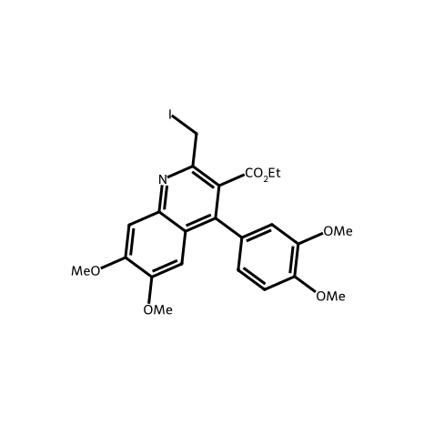 CCOC(=O)c1c(CI)nc2cc(OC)c(OC)cc2c1-c1ccc(OC)c(OC)c1